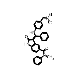 CCN(CC)Cc1ccc(N/C(=C2\C(=O)Nc3ccc(C(=O)N(C)c4ccccc4)cc32)c2ccccc2)cc1